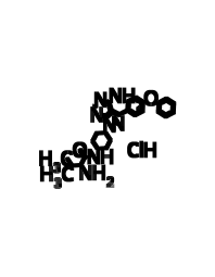 CC(C)C(N)C(=O)NC1CCC(n2nc(-c3ccc(Oc4ccccc4)cc3)c3c(N)ncnc32)CC1.Cl